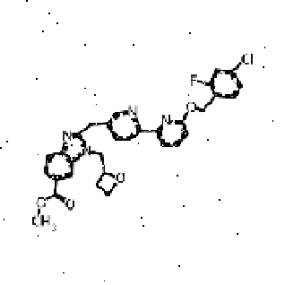 COC(=O)c1ccc2nc(Cc3ccc(-c4cccc(OCc5ccc(Cl)cc5F)n4)nc3)n(CC3CCO3)c2c1